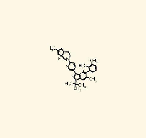 Cc1cc2c(nc1-c1cccc(C)c1C)c(-c1ccc(N3CCN4C[C@H](C)C[C@H]4C3)nc1)nn2C(C)(C)C